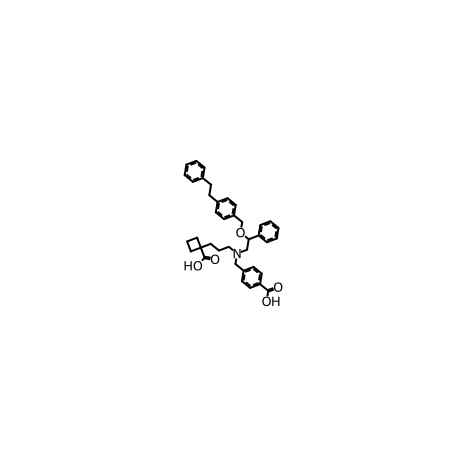 O=C(O)c1ccc(CN(CCCC2(C(=O)O)CCC2)CC(OCc2ccc(CCc3ccccc3)cc2)c2ccccc2)cc1